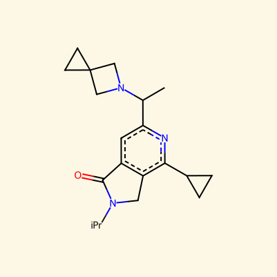 CC(c1cc2c(c(C3CC3)n1)CN(C(C)C)C2=O)N1CC2(CC2)C1